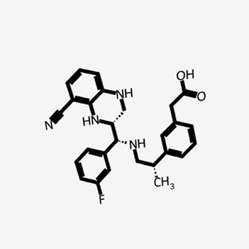 C[C@H](CN[C@H](c1cccc(F)c1)[C@H]1CNc2cccc(C#N)c2N1)c1cccc(CC(=O)O)c1